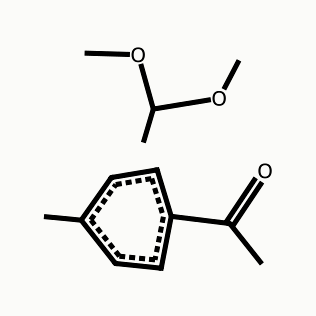 CC(=O)c1ccc(C)cc1.COC(C)OC